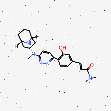 CN(C)C(=O)/C=C/c1ccc(-c2ccc(N(C)[C@H]3C[C@H]4CCC[C@@H](C3)N4)nn2)c(O)c1